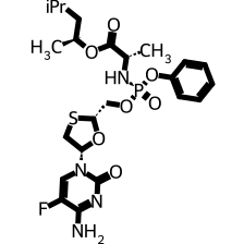 CC(C)C[C@H](C)OC(=O)[C@H](C)N[P@](=O)(OC[C@@H]1O[C@H](n2cc(F)c(N)nc2=O)CS1)Oc1ccccc1